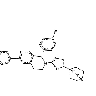 Fc1ccc([C@H]2c3ccc(-c4ccccc4)cc3CCN2C2=NC[C@H](C34CCN(CC3)CC4)O2)cc1